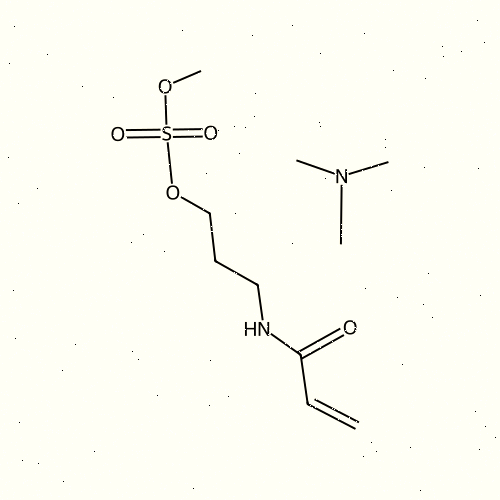 C=CC(=O)NCCCOS(=O)(=O)OC.CN(C)C